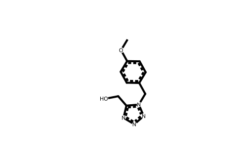 COc1ccc(Cn2nnnc2CO)cc1